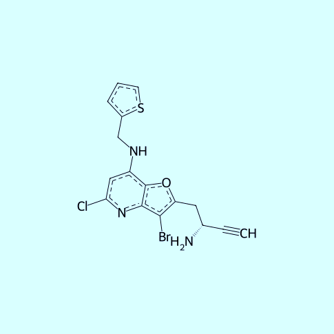 C#C[C@H](N)Cc1oc2c(NCc3cccs3)cc(Cl)nc2c1Br